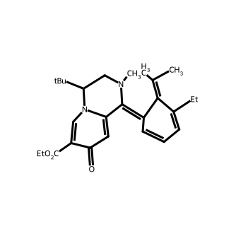 CCOC(=O)c1cn2c(cc1=O)/C(=c1\cccc(CC)c1=C(C)C)N(C)CC2C(C)(C)C